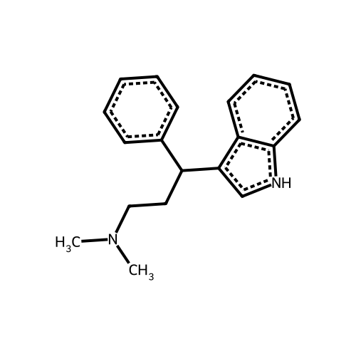 CN(C)CCC(c1ccccc1)c1c[nH]c2ccccc12